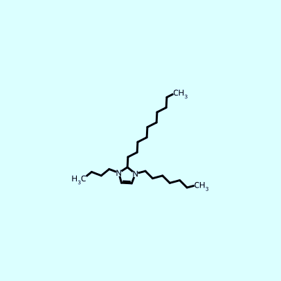 CCCCCCCCCCC1N(CCCC)C=CN1CCCCCCC